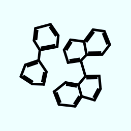 c1ccc(-c2ccccc2)cc1.c1ccc2c(-c3cccc4ccccc34)cccc2c1